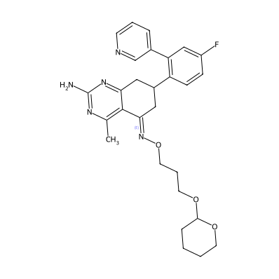 Cc1nc(N)nc2c1/C(=N/OCCCOC1CCCCO1)CC(c1ccc(F)cc1-c1cccnc1)C2